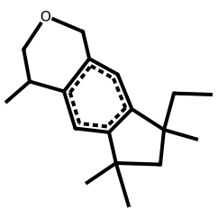 CCC1(C)CC(C)(C)c2cc3c(cc21)COCC3C